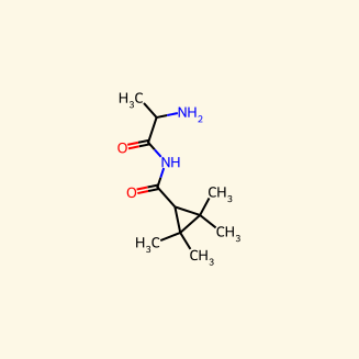 CC(N)C(=O)NC(=O)C1C(C)(C)C1(C)C